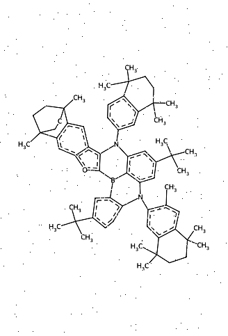 Cc1cc2c(cc1N1c3ccc(C(C)(C)C)cc3B3c4oc5cc6c(cc5c4N(c4ccc5c(c4)C(C)(C)CCC5(C)C)c4cc(C(C)(C)C)cc1c43)C1(C)CCC6(C)CC1)C(C)(C)CCC2(C)C